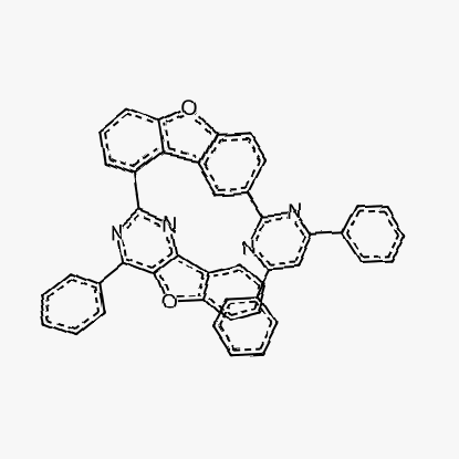 c1ccc(-c2cc(-c3ccccc3)nc(-c3ccc4oc5cccc(-c6nc(-c7ccccc7)c7oc8ccccc8c7n6)c5c4c3)n2)cc1